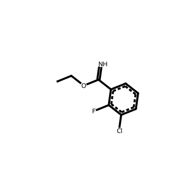 CCOC(=N)c1cccc(Cl)c1F